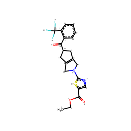 CCOC(=O)c1cnc(N2CC3=C(CC(C(=O)c4ccccc4C(F)(F)F)C3)C2)s1